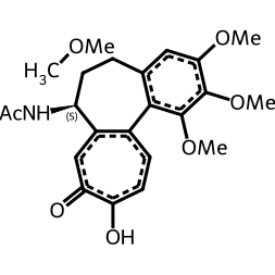 COC.COc1cc2c(c(OC)c1OC)-c1ccc(O)c(=O)cc1[C@@H](NC(C)=O)CC2